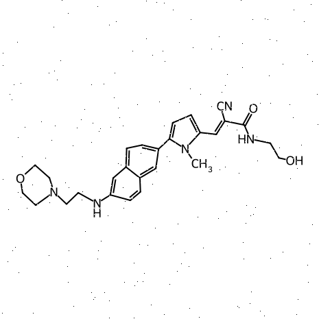 Cn1c(/C=C(\C#N)C(=O)NCCO)ccc1-c1ccc2cc(NCCN3CCOCC3)ccc2c1